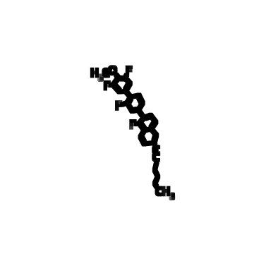 CCCCCCCc1ccc2c(F)c(-c3ccc(-c4cc(F)c(OC)c(F)c4)c(F)c3)ccc2c1